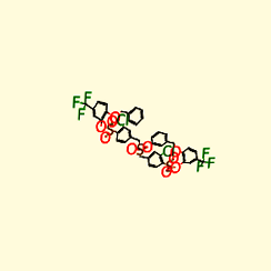 O=S(=O)(Cc1ccc(S(=O)(=O)Oc2cc(C(F)(F)F)ccc2OCc2ccccc2)c(Cl)c1)Cc1ccc(S(=O)(=O)Oc2cc(C(F)(F)F)ccc2OCc2ccccc2)c(Cl)c1